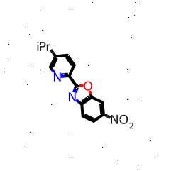 CC(C)c1ccc(-c2nc3ccc([N+](=O)[O-])cc3o2)nc1